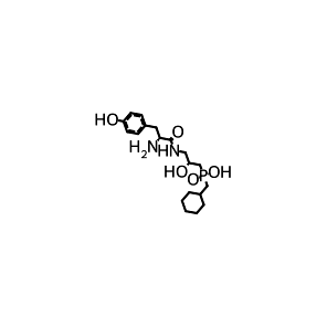 N[C@@H](Cc1ccc(O)cc1)C(=O)NC[C@H](O)CP(=O)(O)CC1CCCCC1